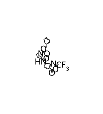 O=C(Nc1ccc2c(=O)oc(C(F)(F)F)nc2c1)[C@@H]1CCCN1C(=O)OCc1ccccc1